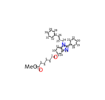 COC(=O)CCCCCOc1ccc2c(c1)nc(-c1ccccc1)n2CC=Cc1ccccc1